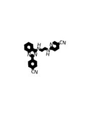 N#Cc1ccc(-c2nc(NCCNc3ccc(C#N)cn3)c3ccccc3n2)cc1